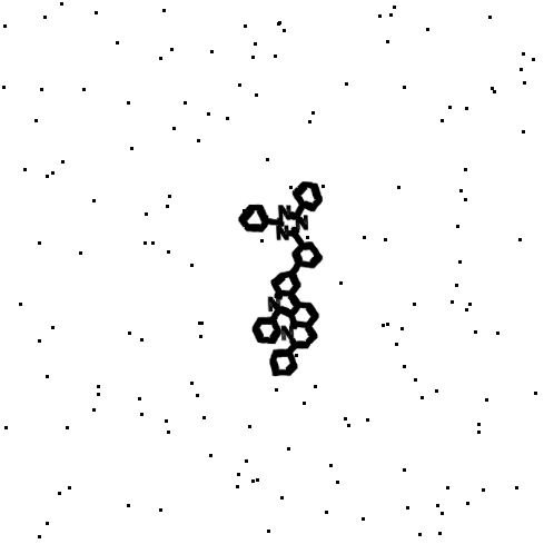 c1ccc(-c2ccc3ccc4c5cc(-c6cccc(-c7nc(-c8ccccc8)nc(-c8ccccc8)n7)c6)ccc5nc(-c5ccccc5)c4c3n2)cc1